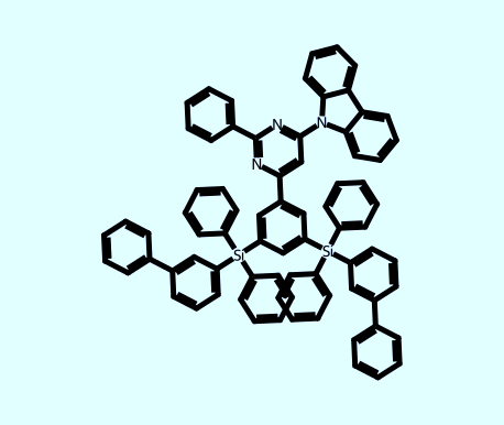 c1ccc(-c2cccc([Si](c3ccccc3)(c3ccccc3)c3cc(-c4cc(-n5c6ccccc6c6ccccc65)nc(-c5ccccc5)n4)cc([Si](c4ccccc4)(c4ccccc4)c4cccc(-c5ccccc5)c4)c3)c2)cc1